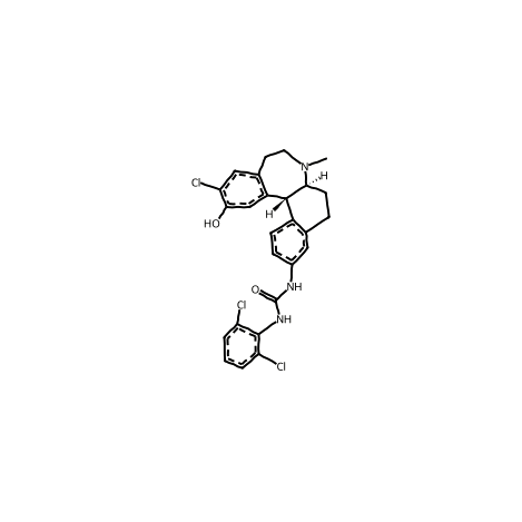 CN1CCc2cc(Cl)c(O)cc2[C@H]2c3ccc(NC(=O)Nc4c(Cl)cccc4Cl)cc3CC[C@@H]21